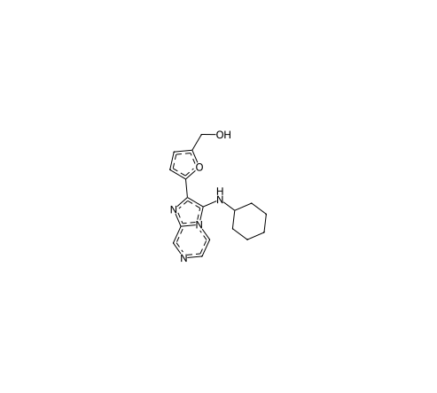 OCc1ccc(-c2nc3cnccn3c2NC2CCCCC2)o1